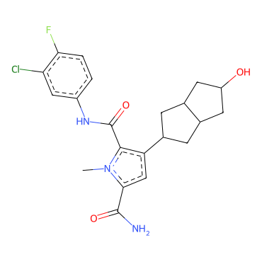 Cn1c(C(N)=O)cc(C2CC3CC(O)CC3C2)c1C(=O)Nc1ccc(F)c(Cl)c1